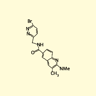 CNc1nc2ccc(C(=O)NCc3ccc(Br)nn3)cc2cc1C